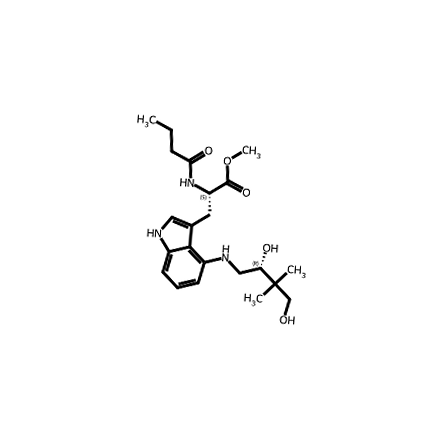 CCCC(=O)N[C@@H](Cc1c[nH]c2cccc(NC[C@H](O)C(C)(C)CO)c12)C(=O)OC